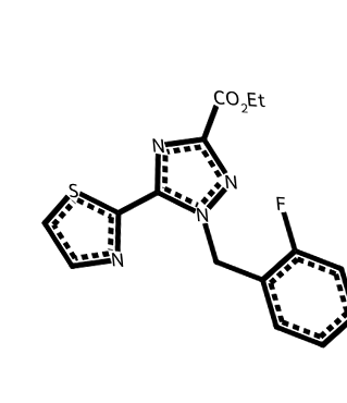 CCOC(=O)c1nc(-c2nccs2)n(Cc2ccccc2F)n1